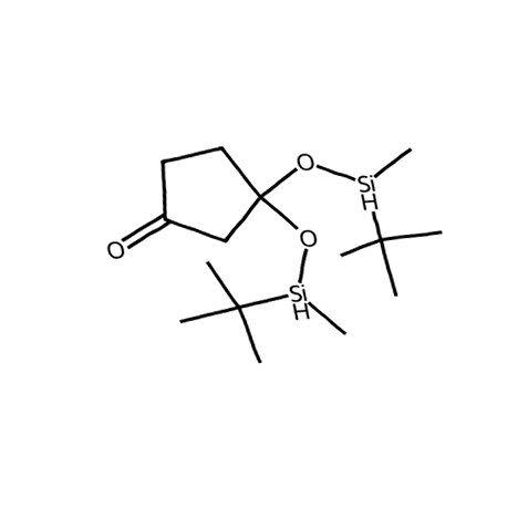 C[SiH](OC1(O[SiH](C)C(C)(C)C)CCC(=O)C1)C(C)(C)C